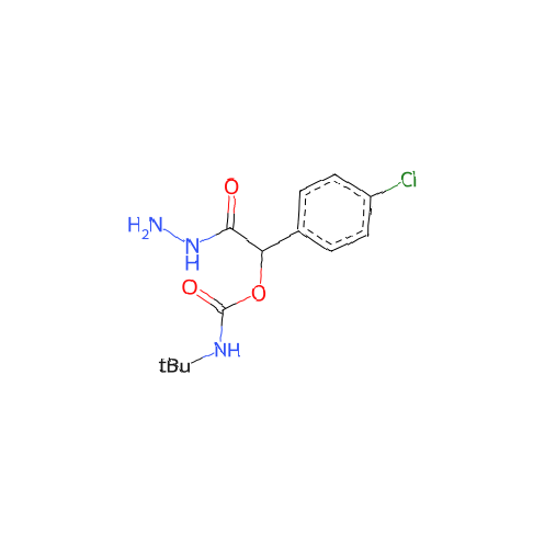 CC(C)(C)NC(=O)OC(C(=O)NN)c1ccc(Cl)cc1